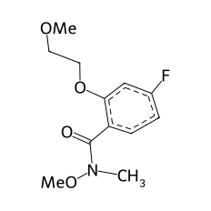 COCCOc1cc(F)ccc1C(=O)N(C)OC